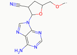 [CH2]OCC1CC(C#N)C(n2cnc3c(N)ncnc32)O1